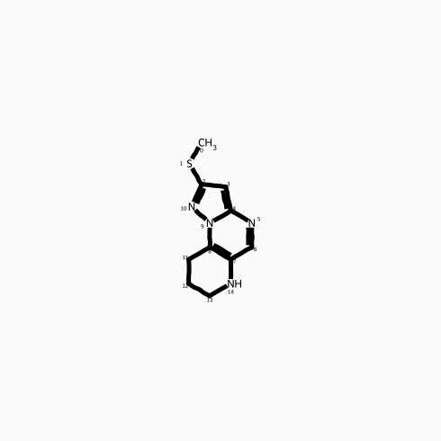 CSc1cc2ncc3c(n2n1)CCCN3